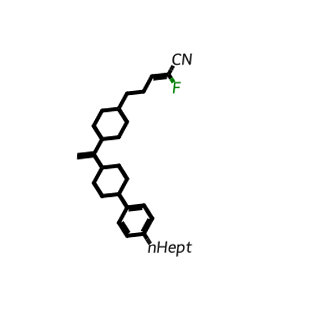 C=C(C1CCC(CCC=C(F)C#N)CC1)C1CCC(c2ccc(CCCCCCC)cc2)CC1